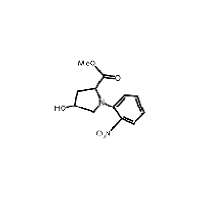 COC(=O)C1C[C@H](O)CN1c1ccccc1[N+](=O)[O-]